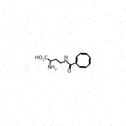 NC(CCNC(=O)C1=CC=CC=CC=C1)C(=O)O